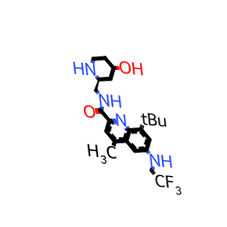 Cc1cc(C(=O)NC[C@@H]2CC(O)CCN2)nc2c(C(C)(C)C)cc(NCC(F)(F)F)cc12